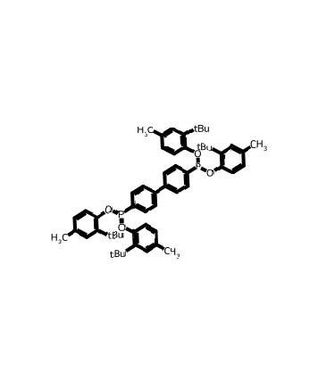 Cc1ccc(OP(Oc2ccc(C)cc2C(C)(C)C)c2ccc(-c3ccc(P(Oc4ccc(C)cc4C(C)(C)C)Oc4ccc(C)cc4C(C)(C)C)cc3)cc2)c(C(C)(C)C)c1